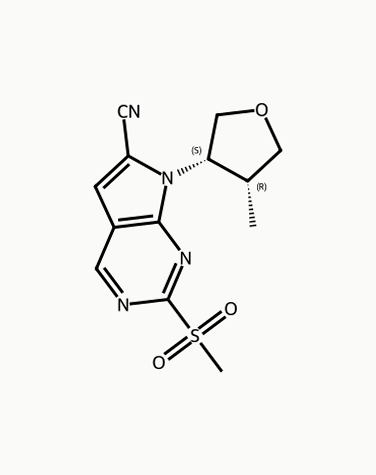 C[C@H]1COC[C@H]1n1c(C#N)cc2cnc(S(C)(=O)=O)nc21